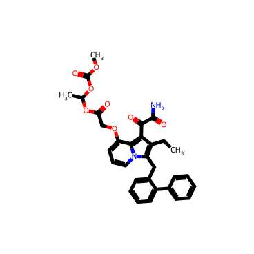 CCc1c(C(=O)C(N)=O)c2c(OCC(=O)OC(C)OC(=O)OC)cccn2c1Cc1ccccc1-c1ccccc1